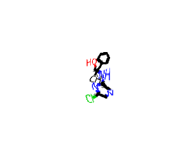 CC(CO)(Nc1cncc(Cl)n1)c1ccccc1